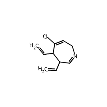 C=CC1C=NCC=C(Cl)C1C=C